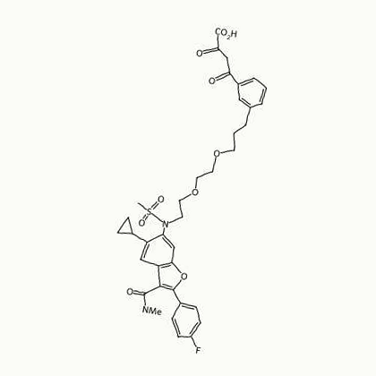 CNC(=O)c1c(-c2ccc(F)cc2)oc2cc(N(CCOCCOCCCc3cccc(C(=O)CC(=O)C(=O)O)c3)S(C)(=O)=O)c(C3CC3)cc12